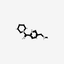 COCc1ccc(C(=O)N2CCCCC2)nc1